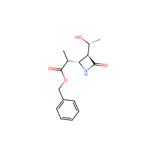 CC(C(=O)OCc1ccccc1)[C@H]1NC(=O)[C@@H]1[C@@H](C)O